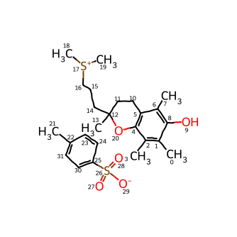 Cc1c(C)c2c(c(C)c1O)CCC(C)(CCC[S+](C)C)O2.Cc1ccc(S(=O)(=O)[O-])cc1